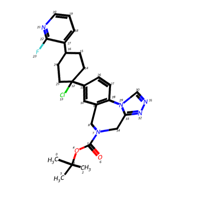 CC(C)(C)OC(=O)N1Cc2cc(C3(Cl)CCC(c4cccnc4F)CC3)ccc2-n2cnnc2C1